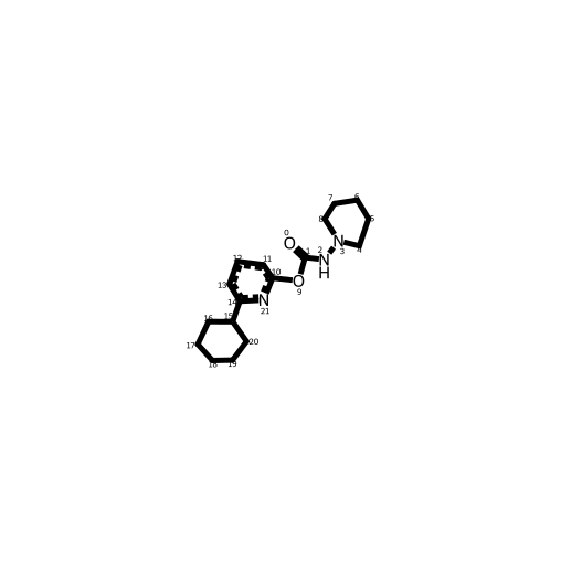 O=C(NN1CCCCC1)Oc1cccc(C2CCCCC2)n1